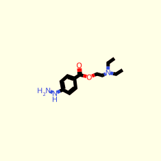 CCN(CC)CCOC(=O)c1ccc(NN)cc1